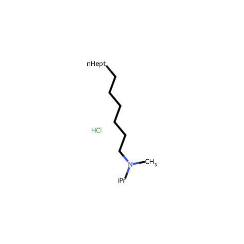 CCCCCCCCCCCCCN(C)C(C)C.Cl